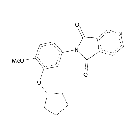 COc1ccc(N2C(=O)c3ccncc3C2=O)cc1OC1CCCC1